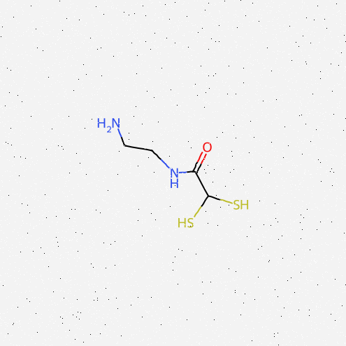 NCCNC(=O)C(S)S